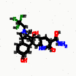 NC(=O)c1cc2c([nH]c1=O)C[C@@]13CC4(CN(CC(F)(F)F)[C@H]4[C@]1(O)C2)c1ccc(O)cc13